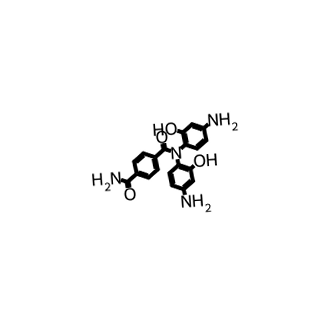 NC(=O)c1ccc(C(=O)N(c2ccc(N)cc2O)c2ccc(N)cc2O)cc1